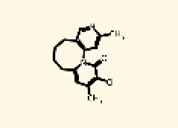 Cc1cc2c(cn1)CCCCc1cc(C)c(Cl)c(=O)n1-2